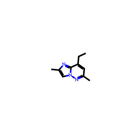 CCc1cc(C)nn2cc(C)nc12